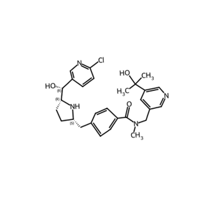 CN(Cc1cncc(C(C)(C)O)c1)C(=O)c1ccc(C[C@@H]2CC[C@H]([C@H](O)c3ccc(Cl)nc3)N2)cc1